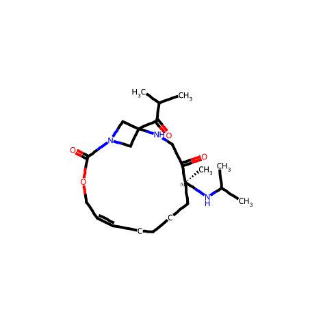 CC(C)N[C@@]1(C)CCCCC=CCOC(=O)N2CC(C(=O)C(C)C)(C2)NCC1=O